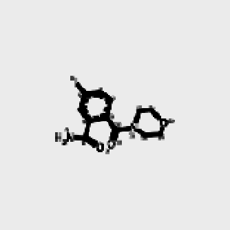 NC(=O)c1cc(I)ccc1C(=O)N1CCOCC1